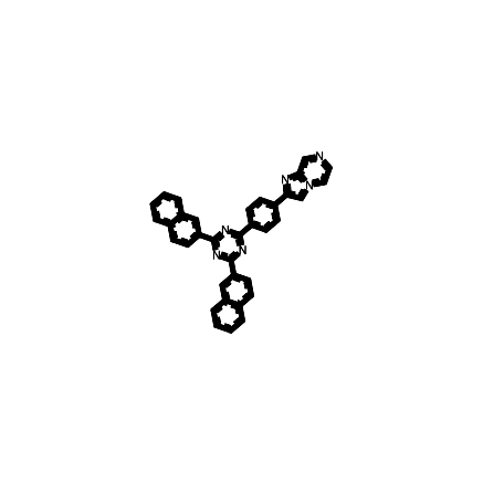 c1ccc2cc(-c3nc(-c4ccc(-c5cn6ccncc6n5)cc4)nc(-c4ccc5ccccc5c4)n3)ccc2c1